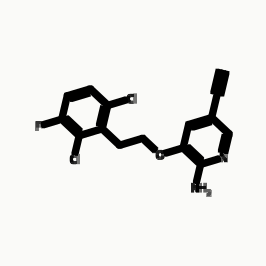 C#Cc1cnc(N)c(OCCc2c(Cl)ccc(F)c2Cl)c1